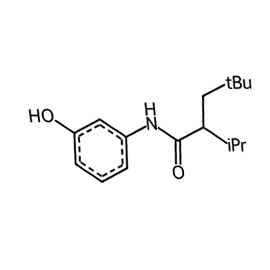 CC(C)C(CC(C)(C)C)C(=O)Nc1cccc(O)c1